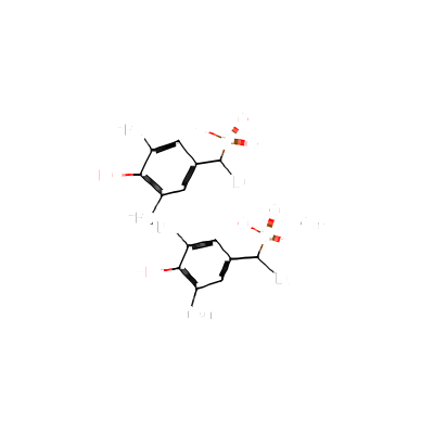 CCC(c1cc(C(C)(C)C)c(O)c(C(C)(C)C)c1)S(=O)(=O)[O-].CCC(c1cc(C(C)(C)C)c(O)c(C(C)(C)C)c1)S(=O)(=O)[O-].[Ca+2]